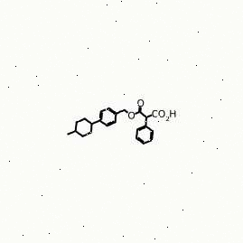 CC1CCC(c2ccc(COC(=O)C(C(=O)O)c3ccccc3)cc2)CC1